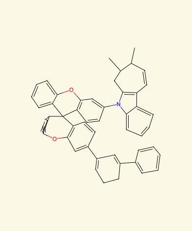 CC1C=Cc2c(n(-c3ccc4c(c3)Oc3ccccc3C43c4ccccc4Oc4cc(C5=CCCC(c6ccccc6)=C5)ccc43)c3ccccc23)CC1C